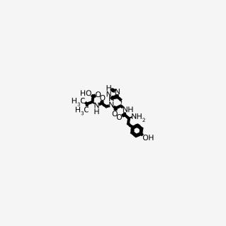 CC(C)[C@H](NC(=O)CNC(=O)[C@H](Cc1c[nH]cn1)NC(=O)[C@@H](N)Cc1ccc(O)cc1)C(=O)O